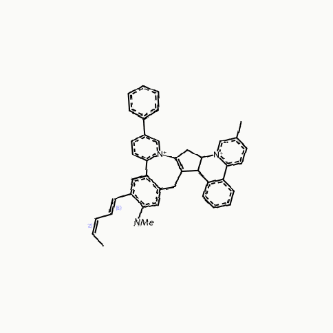 C/C=C\C=C\c1cc2c(cc1NC)CC1=C(CC3C1c1ccccc1-c1ccc(C)c[n+]13)[n+]1cc(-c3ccccc3)ccc1-2